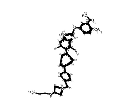 Cc1ccc(Oc2nc3c(F)c(-c4ccc(-c5ccc(CN6CC(OCCN)C6)cc5)cc4)c(F)cc3[nH]2)cc1C(=O)O